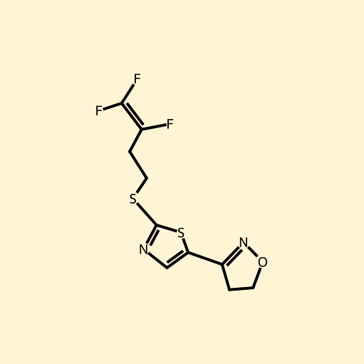 FC(F)=C(F)CCSc1ncc(C2=NOCC2)s1